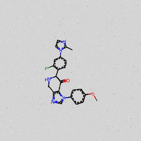 COc1ccc(-n2cnc3c2C(=O)C(c2ccc(-n4ccnc4C)cc2F)NC3)cc1